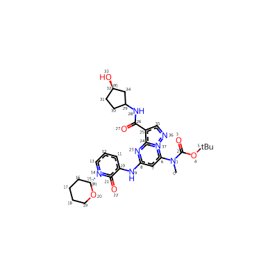 CN(C(=O)OC(C)(C)C)c1cc(Nc2cccn([C@H]3CCCCO3)c2=O)nc2c(C(=O)NC3CC[C@@H](O)C3)cnn12